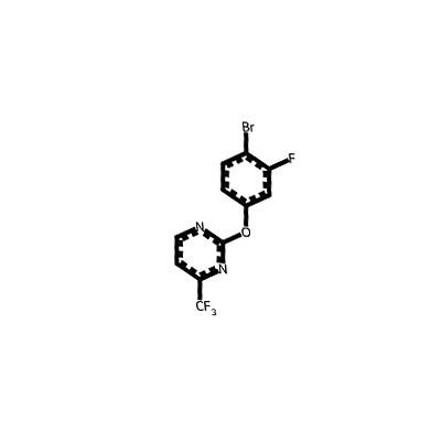 Fc1cc(Oc2nccc(C(F)(F)F)n2)ccc1Br